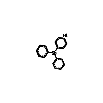 I.c1cc[c]([Sb]([c]2ccccc2)[c]2ccccc2)cc1